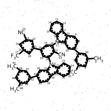 Cc1cc(C)cc(-c2ccc3c4ccccc4n(-c4cc(-c5cc(C#N)cc(C(F)(F)F)c5)cc(-n5c6ccccc6c6ccc(-c7cc(C)cc(C)c7)cc65)c4C#N)c3c2)c1